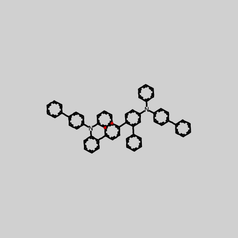 c1ccc(-c2ccc(N(c3ccccc3)c3ccc(-c4ccc(-c5ccccc5N(c5ccccc5)c5ccc(-c6ccccc6)cc5)cc4)c(-c4ccccc4)c3)cc2)cc1